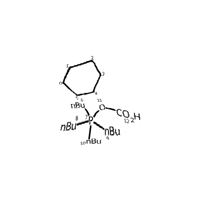 C1CCCCC1.CCCCP(CCCC)(CCCC)(CCCC)OC(=O)O